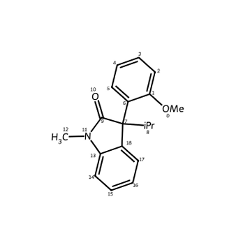 COc1ccccc1C1(C(C)C)C(=O)N(C)c2ccccc21